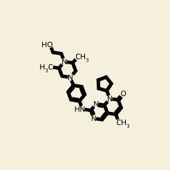 Cc1cc(=O)n(C2CCCC2)c2nc(Nc3ccc(N4CC(C)N(CCO)C(C)C4)cc3)ncc12